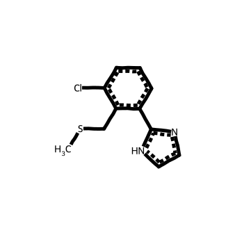 CSCc1c(Cl)cccc1-c1ncc[nH]1